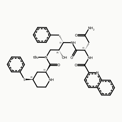 CC(C)(C)N(C[C@@H](O)[C@H](Cc1ccccc1)NC(=O)[C@H](CC(N)=O)NC(=O)c1ccc2ccccc2n1)C(=O)[C@@H]1C[C@H](Sc2ccccc2)CCN1